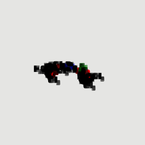 C[C@@H]1CC[C@H]2[C@@H](C)[C@@](C)(OCCN3CCN(CCOCC4=C(C(F)(F)F)O[C@@H]5O[C@]6(C)CC[C@H]7[C@H](C)CC[C@@H]4[C@@]57OO6)CC3)O[C@@H]3O[C@]4(C)CC[C@@H]1[C@]32OO4